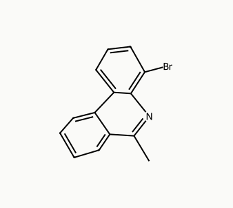 Cc1nc2c(Br)cccc2c2ccccc12